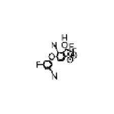 N#Cc1cc(F)cc(Oc2ccc3c(c2C#N)[C@@H](O)C(F)(F)S3(=O)=O)c1